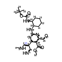 CN/C=C(\C=N)c1nc(NC2CCCCC2NC(=O)OC(C)(C)C)nc(C=O)c1C(=O)OC